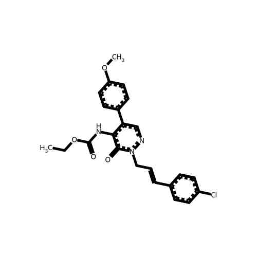 CCOC(=O)Nc1c(-c2ccc(OC)cc2)cnn(C/C=C/c2ccc(Cl)cc2)c1=O